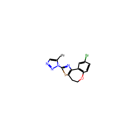 CC(C)c1cnnn1-c1nc2c(s1)CCOc1ccc(Br)cc1-2